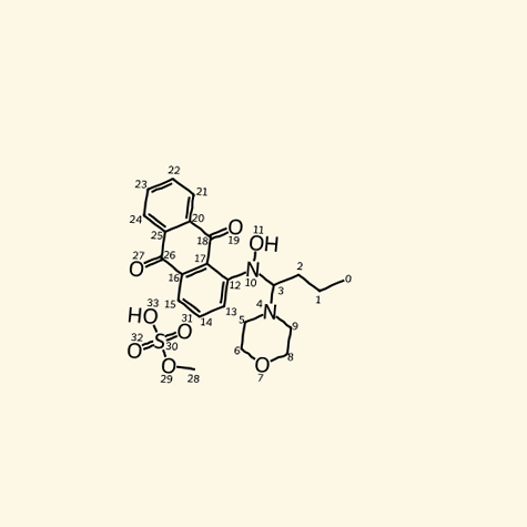 CCCC(N1CCOCC1)N(O)c1cccc2c1C(=O)c1ccccc1C2=O.COS(=O)(=O)O